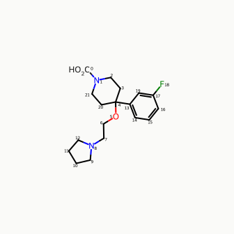 O=C(O)N1CCC(OCCN2CCCC2)(c2cccc(F)c2)CC1